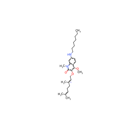 CCCCCCCCNc1ccc2c(OC)c(OC/C=C(\C)CCC=C(C)C)c(=O)n(C)c2c1